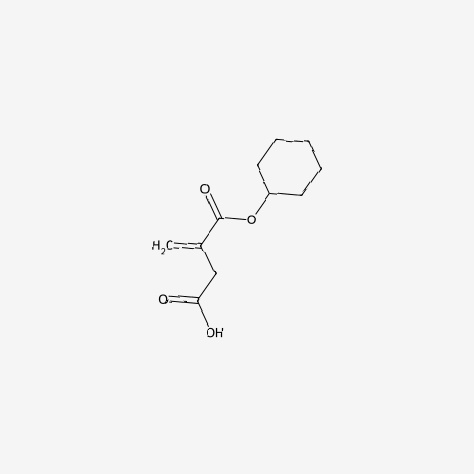 C=C(CC(=O)O)C(=O)OC1CCCCC1